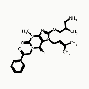 CC(C)=CCn1c(OCC(C)CN)nc2c1c(=O)n(CC(=O)c1ccccc1)c(=O)n2C